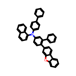 c1ccc(-c2ccc(N(c3ccc(-c4ccc5c(c4)oc4ccccc45)c(-c4ccccc4)c3)c3cccc4ccccc34)cc2)cc1